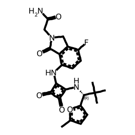 Cc1ccc([C@H](Nc2c(Nc3ccc(F)c4c3C(=O)N(CC(N)=O)C4)c(=O)c2=O)C(C)(C)C)o1